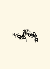 CO[C@@H]1CN(C(=O)c2cc(C)ccc2C)C[C@H]1Oc1cccc(CS(=O)(=O)N2CCC(c3ccncc3)C2)c1